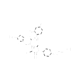 O=C(Nc1ccc(I)cc1F)C(Cc1ccc(Br)s1)N1C(=O)N[C@H](c2ccc(OCCO)cc2)C1=O